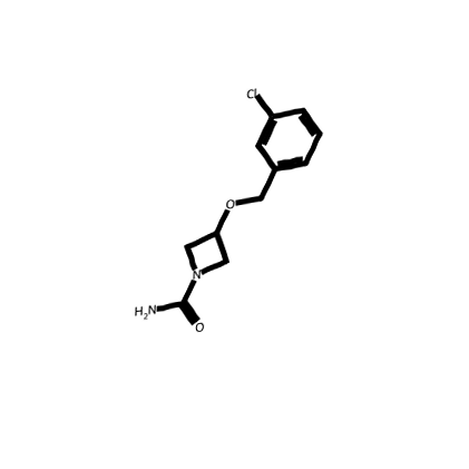 NC(=O)N1CC(OCc2cccc(Cl)c2)C1